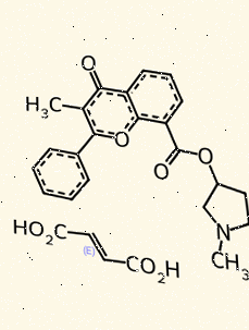 Cc1c(-c2ccccc2)oc2c(C(=O)OC3CCN(C)C3)cccc2c1=O.O=C(O)/C=C/C(=O)O